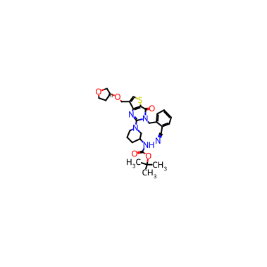 CC(C)(C)OC(=O)NC1CCCN(c2nc3c(CO[C@H]4CCOC4)csc3c(=O)n2Cc2ccccc2C#N)C1